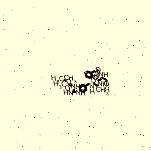 CC(NC(=O)C(CO)NS(=O)(=O)Cc1ccccc1)C(=O)NCc1ccc(NC(=N)NC(=O)OC(C)(C)C)cc1